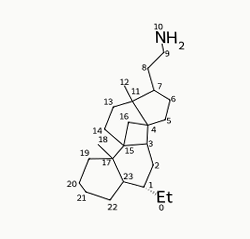 CC[C@H]1CC2C34CCC(CCN)C3(C)CCC2(C4)C2(C)CCCCC12